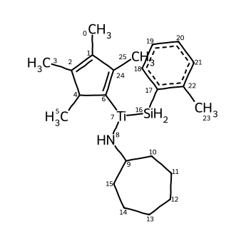 CC1=C(C)C(C)[C]([Ti]([NH]C2CCCCCC2)[SiH2]c2ccccc2C)=C1C